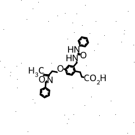 Cc1oc(-c2ccccc2)nc1CCOc1ccc(CCC(=O)O)c(CNC(=O)Nc2ccccc2)c1